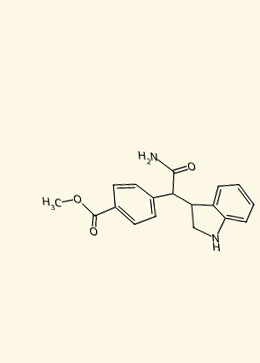 COC(=O)c1ccc(C(C(N)=O)C2CNc3ccccc32)cc1